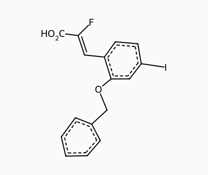 O=C(O)C(F)=Cc1ccc(I)cc1OCc1ccccc1